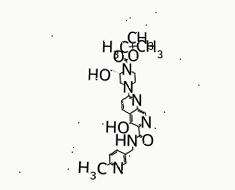 Cc1ccc(CNC(=O)c2ncc3nc(N4CCN(C(=O)OC(C)(C)C)[C@@H](CO)C4)ccc3c2O)cn1